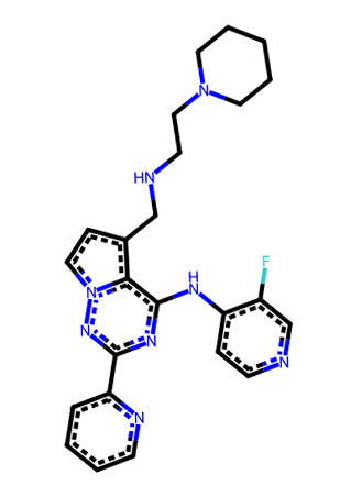 Fc1cnccc1Nc1nc(-c2ccccn2)nn2ccc(CNCCN3CCCCC3)c12